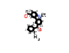 CCCC(=O)c1ccc2c(c1)c1cc(C(=O)c3ccccc3C)ccc1n2CC